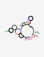 C[C@@H]1[C@@H](C)C/C=C/[C@@](O)(Cc2ccccn2)[C@@H]2CC[C@H]2CN2C[C@@]3(CCCc4cc(Cl)ccc43)COc3ccc(cc32)C(=O)NS1(=O)=O